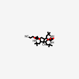 CC1(C)CC(C(CCCCCCC#N)C(C#N)(C2CC(C)(C)NC(C)(C)C2)C2CC(C)(C)NC(C)(C)C2)CC(C)(C)N1